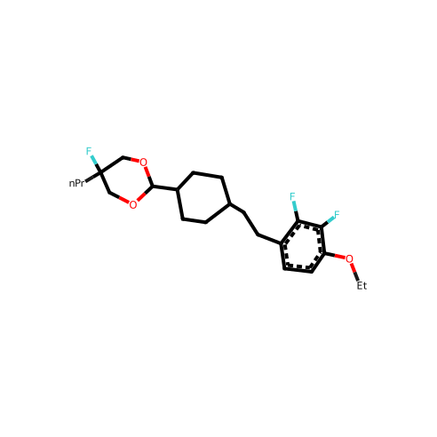 CCCC1(F)COC(C2CCC(CCc3ccc(OCC)c(F)c3F)CC2)OC1